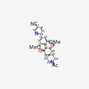 COc1cc(-c2ccc(C#N)cn2)cc(OC)c1C1C(=O)CC2(CCN(C(C)=O)CC2)CC1=O